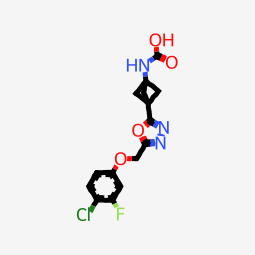 O=C(O)NC12CC(c3nnc(COc4ccc(Cl)c(F)c4)o3)(C1)C2